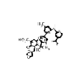 Cc1cc(Nc2cc(C(F)F)ccn2)nc(-c2ccc(C(C)(O)[C@@H]3C(C)C[C@@H](C(=O)O)C(=O)C3CC3=COCO3)nc2)c1